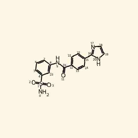 NS(=O)(=O)c1cccc(NC(=O)c2ccc(-c3ncc[nH]3)cc2)c1